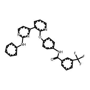 O=C(Nc1ccc(Oc2ncccc2-c2ccnc(Nc3ccccc3)n2)cc1)c1cccc(C(F)(F)F)c1